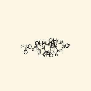 CC(=O)OC[C@H](O)C1=CC=C2[C@@H]3CCC4CC(=O)C=C[C@]4(C)[C@H]3[C@@H](O)C[C@]12C